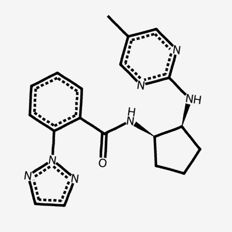 Cc1cnc(N[C@H]2CCC[C@H]2NC(=O)c2ccccc2-n2nccn2)nc1